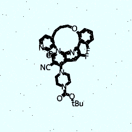 CC(C)c1nccc2c1-n1c(=O)c(C#N)c(N3CCN(C(=O)OC(C)(C)C)CC3)c3cc(F)c(nc31)-c1c(F)cccc1OCCC2